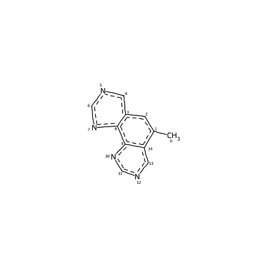 Cc1cc2cncnc2c2ncncc12